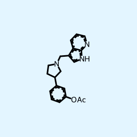 CC(=O)Oc1cccc(C2CCN(Cc3c[nH]c4ncccc34)C2)c1